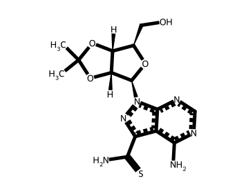 CC1(C)O[C@@H]2[C@H](O1)[C@@H](CO)O[C@H]2n1nc(C(N)=S)c2c(N)ncnc21